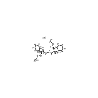 CCCCN1C(=CC=Cc2oc3ccccc3[n+]2CCCC)Oc2ccccc21.[I-]